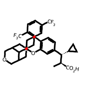 C[C@H](C(=O)O)[C@H](c1ccc2c(c1)OC(C1C3COCC1CN(Cc1cc(C(F)(F)F)ccc1C(F)(F)F)C3)CC2)C1CC1